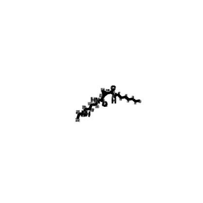 CCCCCCCNC(=O)C1CC1C(=O)NCCCCNCC